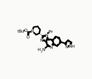 CC(C)n1c([C@H]2CCCN(C(=O)OC(C)(C)C)C2)nc2c(N)nc3cc(-c4cc[nH]n4)ccc3c21